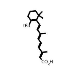 CC(/C=C/C1=C(C(C)(C)C)CCCC1(C)C)=C\C=C\C(C)=C\C(=O)O